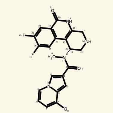 CN(C(=O)c1cc2c(Cl)cccn2c1)[C@H]1CNCc2[nH]c(=O)c3cc(F)c(F)cc3c21